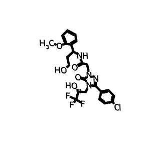 COc1ccccc1C(CCO)NC(=O)Cn1nc(-c2ccc(Cl)cc2)n(C[C@H](O)C(F)(F)F)c1=O